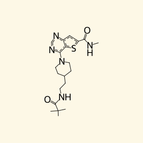 CNC(=O)c1cc2ncnc(N3CCC(CCNC(=O)C(C)(C)C)CC3)c2s1